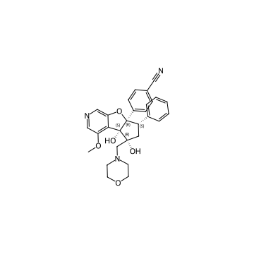 COc1cncc2c1[C@]1(O)[C@](O)(CN3CCOCC3)C[C@@H](c3ccccc3)[C@]1(c1ccc(C#N)cc1)O2